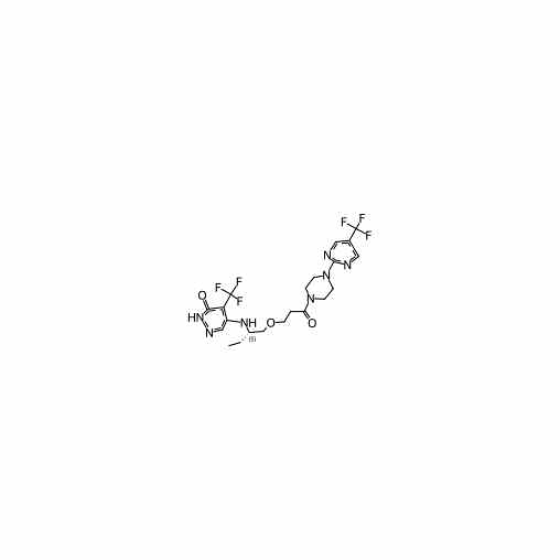 CC[C@@H](COCCC(=O)N1CCN(c2ncc(C(F)(F)F)cn2)CC1)Nc1cn[nH]c(=O)c1C(F)(F)F